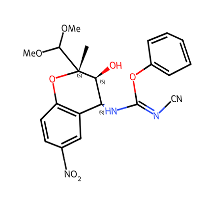 COC(OC)[C@@]1(C)Oc2ccc([N+](=O)[O-])cc2[C@@H](NC(=NC#N)Oc2ccccc2)[C@@H]1O